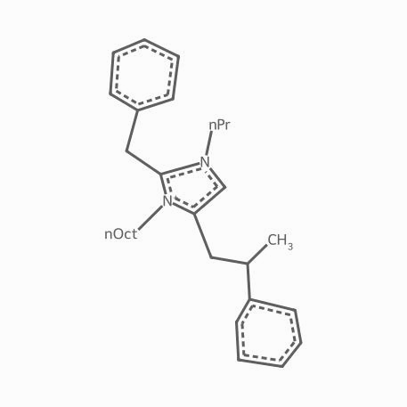 CCCCCCCC[n+]1c(CC(C)c2ccccc2)cn(CCC)c1Cc1ccccc1